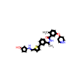 Cc1ccc(OC2CCNCC2)cc1C(=O)NC(C)c1cccc(-c2ccc(CN[C@H]3CC[C@@H](O)C3)s2)c1